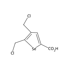 O=C(O)c1cc(CCl)c(CCl)[se]1